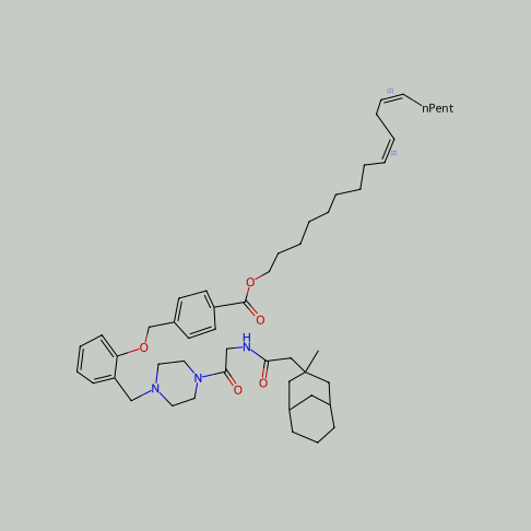 CCCCC/C=C\C/C=C\CCCCCCCCOC(=O)c1ccc(COc2ccccc2CN2CCN(C(=O)CNC(=O)CC3(C)CC4CCCC(C4)C3)CC2)cc1